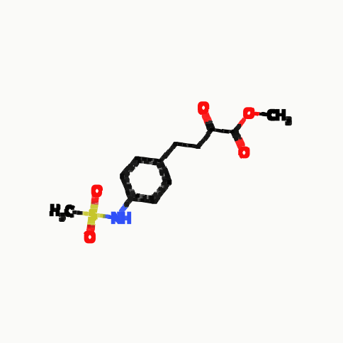 COC(=O)C(=O)CCc1ccc(NS(C)(=O)=O)cc1